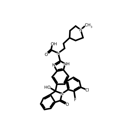 CN1CCC(CCN(C(=O)O)c2nc3cc(C4(O)c5ccccc5C(=O)N4c4cccc(Cl)c4F)ccc3[nH]2)CC1